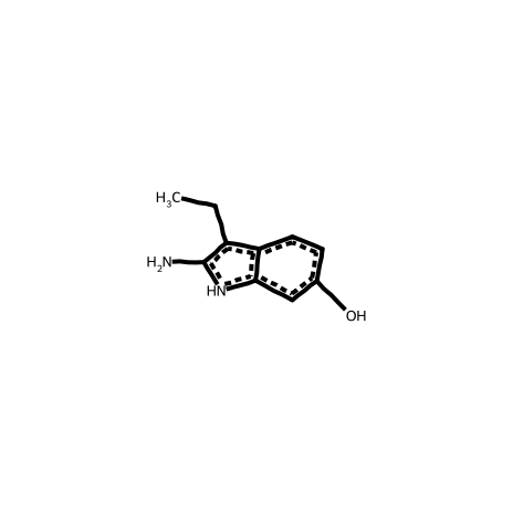 CCc1c(N)[nH]c2cc(O)ccc12